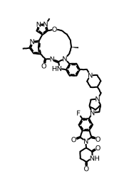 Cc1cc2cc(n1)-c1cnn(C)c1OCCC[C@@H](C)CN1/C(=N/C2=O)Nc2ccc(CN3CCC(CN4CC5CC4CN5c4cc5c(cc4F)C(=O)N(C4CCC(=O)NC4=O)C5=O)CC3)cc21